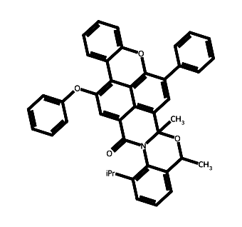 CC(C)c1cccc2c1N1C(=O)c3cc(Oc4ccccc4)c4c5c(c(-c6ccccc6)cc(c35)C1(C)OC2C)Oc1ccccc1-4